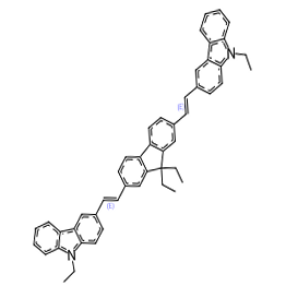 CCn1c2ccccc2c2cc(/C=C/c3ccc4c(c3)C(CC)(CC)c3cc(/C=C/c5ccc6c(c5)c5ccccc5n6CC)ccc3-4)ccc21